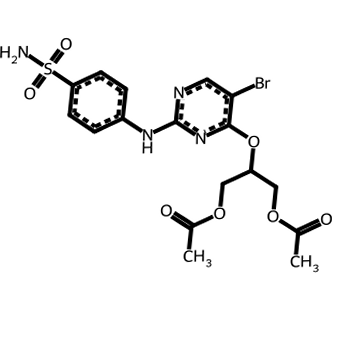 CC(=O)OCC(COC(C)=O)Oc1nc(Nc2ccc(S(N)(=O)=O)cc2)ncc1Br